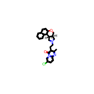 Cc1nc2ccc(Cl)cn2c(=O)c1CCN1C[C@@H]2COc3ccc4ccccc4c3[C@H]2C1